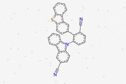 N#Cc1ccc2c(c1)c1ccccc1n2-c1cccc(C#N)c1-c1ccc2sc3ccccc3c2c1